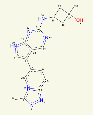 Cc1nnc2ccc(-c3c[nH]c4nc(NC5CC(C)(O)C5)ncc34)cn12